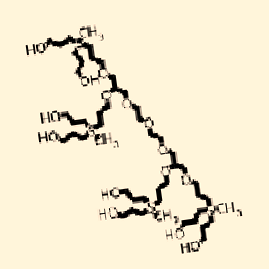 CS(CCCO)(CCCO)CCCOCC(COCCOCCOCC(COCCCS(C)(CCCO)CCCO)OCCCS(C)(CCCO)CCCO)OCCCS(C)(CCCO)CCCO